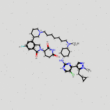 Cn1ncc(-c2nc(N[C@H]3CC[C@H](N(CCCCCCCN4CCCC(c5cc(F)cc6c5CN(C5CCC(=O)NC5=O)C6=O)C4)C(=O)O)CC3)ncc2Cl)c1CC1CC1